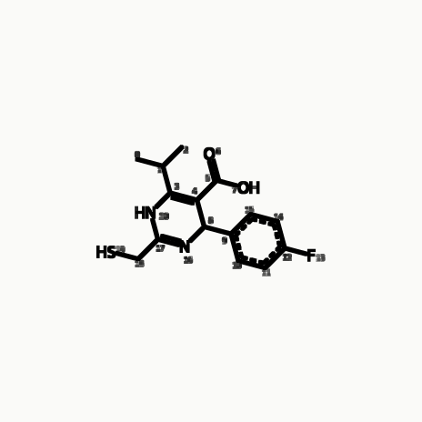 CC(C)C1=C(C(=O)O)C(c2ccc(F)cc2)N=C(CS)N1